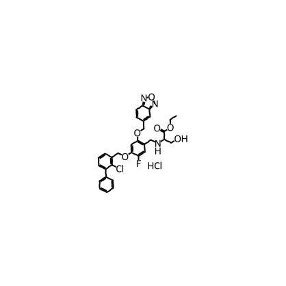 CCOC(=O)C(CO)NCc1cc(F)c(OCc2cccc(-c3ccccc3)c2Cl)cc1OCc1ccc2nonc2c1.Cl